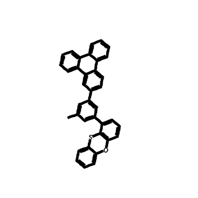 Cc1cc(-c2ccc3c4ccccc4c4ccccc4c3c2)cc(-c2cccc3c2Sc2ccccc2O3)c1